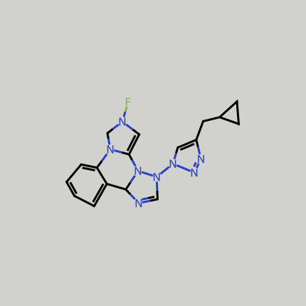 FN1C=C2N(C1)c1ccccc1C1N=CN(n3cc(CC4CC4)nn3)N21